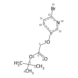 CC(C)(C)OC(=O)COc1ccc(Br)nc1